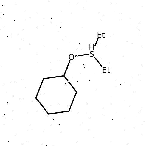 CC[SH](CC)OC1CCCCC1